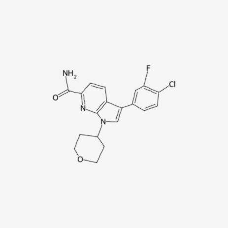 NC(=O)c1ccc2c(-c3ccc(Cl)c(F)c3)cn(C3CCOCC3)c2n1